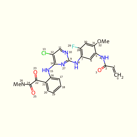 C=CC(=O)Nc1cc(Nc2ncc(Cl)c(Nc3ccccc3C(=O)C(=O)NC)n2)c(F)cc1OC